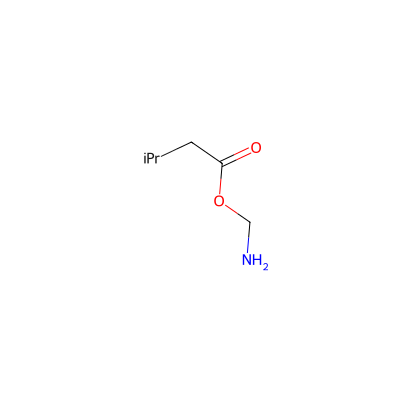 CC(C)CC(=O)OCN